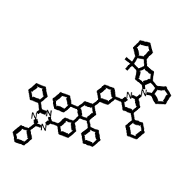 CC1(C)c2ccccc2-c2cc3c4ccccc4n(-c4cc(-c5ccccc5)cc(-c5cccc(-c6cc(-c7ccccc7)c(-c7cccc(-c8nc(-c9ccccc9)nc(-c9ccccc9)n8)c7)c(-c7ccccc7)c6)c5)n4)c3cc21